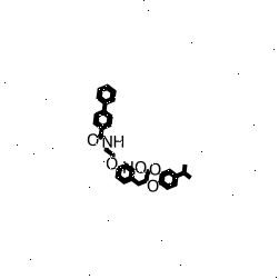 CC(C)c1ccc(OC(Cc2ccc(OCCNC(=O)c3ccc(-c4ccccc4)cc3)cc2)C(=O)O)cc1